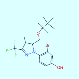 CC1C(C(F)(F)F)=NN(c2ccc(O)cc2Br)C1CO[Si](C)(C)C(C)(C)C